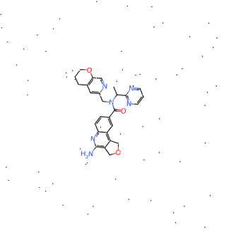 CC(c1ncccn1)N(Cc1cc2c(cn1)OCCC2)C(=O)c1ccc2nc(N)c3c(c2c1)COC3